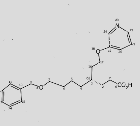 O=C(O)CC[C@H](CCCCOCc1ccccc1)CCOc1cccnc1